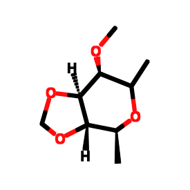 CO[C@H]1C(C)O[C@@H](C)[C@@H]2OCO[C@H]21